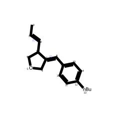 C/C=C/C1COC/C1=C\c1ccc(CCCC)cc1